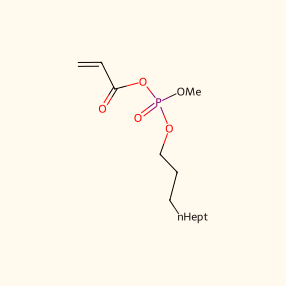 C=CC(=O)OP(=O)(OC)OCCCCCCCCCC